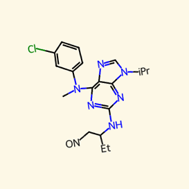 CCC(CN=O)Nc1nc(N(C)c2cccc(Cl)c2)c2ncn(C(C)C)c2n1